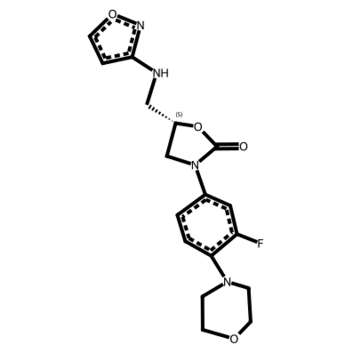 O=C1O[C@@H](CNc2ccon2)CN1c1ccc(N2CCOCC2)c(F)c1